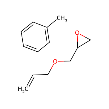 C=CCOCC1CO1.Cc1ccccc1